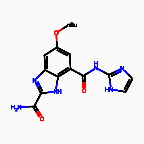 CCCCOc1cc(C(=O)Nc2ncc[nH]2)c2[nH]c(C(N)=O)nc2c1